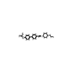 CCC[C@H]1CC[C@H](C#Cc2ccc(-c3ccc(OC(F)F)cc3)cc2)CC1